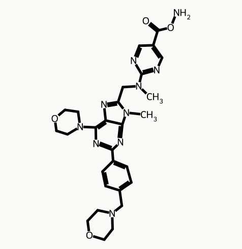 CN(Cc1nc2c(N3CCOCC3)nc(-c3ccc(CN4CCOCC4)cc3)nc2n1C)c1ncc(C(=O)ON)cn1